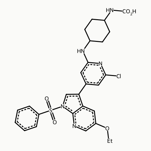 CCOc1cnc2c(c1)c(-c1cc(Cl)nc(NC3CCC(NC(=O)O)CC3)c1)cn2S(=O)(=O)c1ccccc1